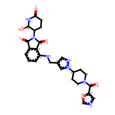 O=C1CCC(N2C(=O)c3cccc(NCc4cnn(C5CCN(C(=O)c6cnco6)CC5)c4)c3C2=O)C(O)N1